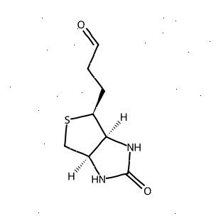 O=CCC[C@@H]1SC[C@@H]2NC(=O)N[C@@H]21